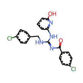 O=C(/N=C(/NCc1ccc(Cl)cc1)Nc1cccc(O)n1)c1ccc(Cl)cc1